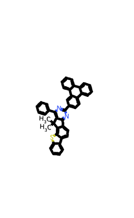 CC1(C)c2c(-c3ccccc3)nc(-c3ccc4c5ccccc5c5ccccc5c4c3)nc2-c2ccc3c(sc4ccccc43)c21